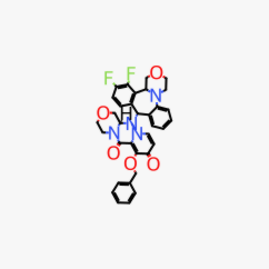 O=C1c2c(OCc3ccccc3)c(=O)ccn2N([C@@H]2c3ccccc3N3CCOCC3c3c2ccc(F)c3F)[C@@H]2COCCN12